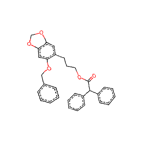 O=C(OCCCc1cc2c(cc1OCc1ccccc1)OCO2)C(c1ccccc1)c1ccccc1